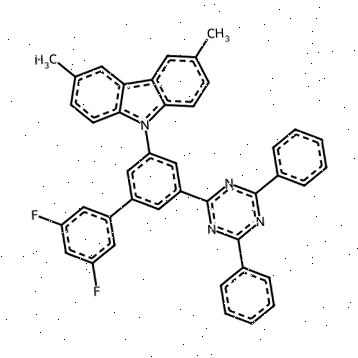 Cc1ccc2c(c1)c1cc(C)ccc1n2-c1cc(-c2cc(F)cc(F)c2)cc(-c2nc(-c3ccccc3)nc(-c3ccccc3)n2)c1